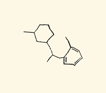 Cc1ccccc1C(C)C1CCCC(C)C1